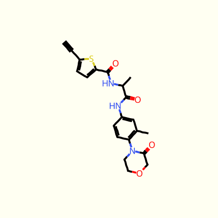 C#Cc1ccc(C(=O)NC(C)C(=O)Nc2ccc(N3CCOCC3=O)c(C)c2)s1